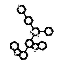 c1ccc(-c2cc(-c3ccc(-c4ccncc4)cc3)nc(-c3ccc(-c4cccc5sc6ccccc6c45)c4oc5ccccc5c34)n2)cc1